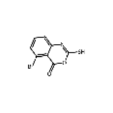 O=c1oc(S)nc2cccc(Br)c12